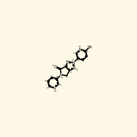 O=C1c2nn(-c3ccc(Br)nc3)nc2CN1c1cccnc1